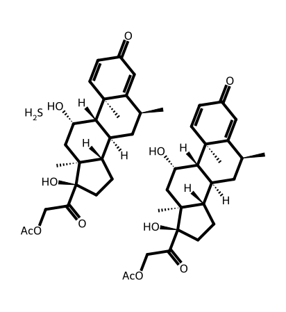 CC(=O)OCC(=O)[C@@]1(O)CC[C@H]2[C@@H]3C[C@H](C)C4=CC(=O)C=C[C@]4(C)[C@H]3[C@@H](O)C[C@@]21C.CC(=O)OCC(=O)[C@@]1(O)CC[C@H]2[C@@H]3C[C@H](C)C4=CC(=O)C=C[C@]4(C)[C@H]3[C@@H](O)C[C@@]21C.S